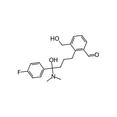 CN(C)C(O)(CCCc1c(C=O)cccc1CO)c1ccc(F)cc1